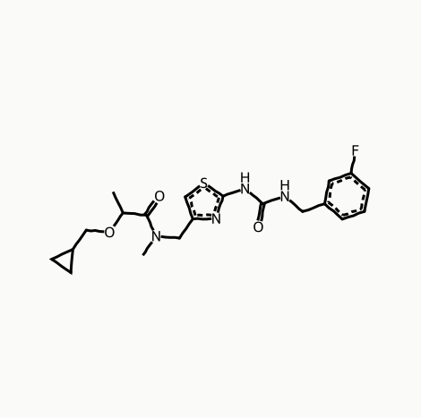 CC(OCC1CC1)C(=O)N(C)Cc1csc(NC(=O)NCc2cccc(F)c2)n1